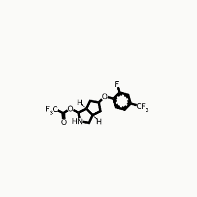 O=C(OC1NC[C@@H]2CC(Oc3ccc(C(F)(F)F)cc3F)C[C@H]12)C(F)(F)F